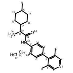 Cc1cncc(C)c1-c1ccc(NC(=O)[C@@H](N)C2CCC(C)CC2)nc1.Cl.Cl